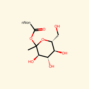 CCCCCCCCCC(=O)OC1(C)O[C@H](CO)[C@@H](O)[C@H](O)[C@H]1O